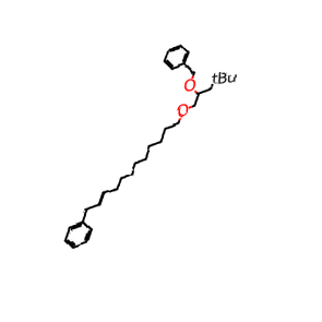 CC(C)(C)CC(COCCCCCCCCCCCCc1ccccc1)OCc1ccccc1